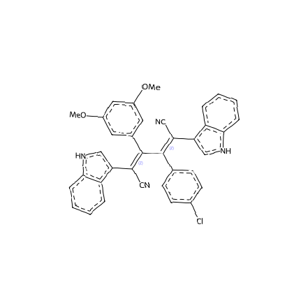 COc1cc(OC)cc(C(/C(=C(\C#N)c2c[nH]c3ccccc23)c2ccc(Cl)cc2)=C(/C#N)c2c[nH]c3ccccc23)c1